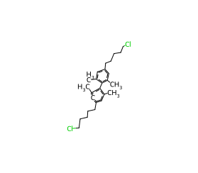 Cc1cc(CCCCCCl)cc(C)c1-c1c(C)cc(CCCCCCl)cc1C